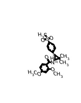 COc1ccc(C(=O)N[C@H]2[C@H](c3ccc(S(C)(=O)=O)cc3)C2(C)C)c(OC)c1